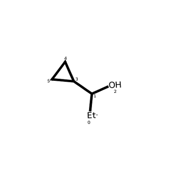 C[CH]C(O)C1CC1